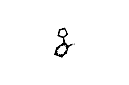 Clc1ccccc1[C]1CCCC1